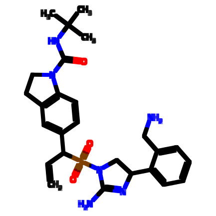 C=CC(c1ccc2c(c1)CCN2C(=O)NC(C)(C)C)S(=O)(=O)N1CC(c2ccccc2CN)N=C1N